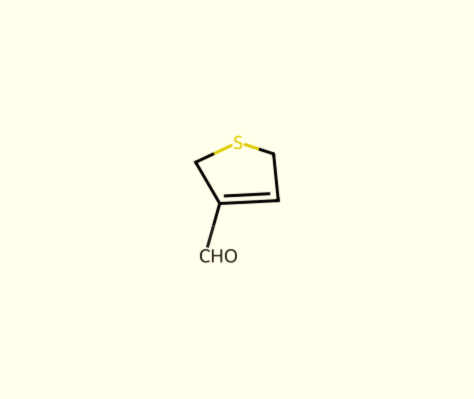 O=CC1=CCSC1